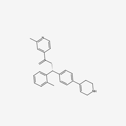 C=C(C[C@H](c1ccc(C2=CCNCC2)cc1)c1ccccc1C)c1ccnc(C)c1